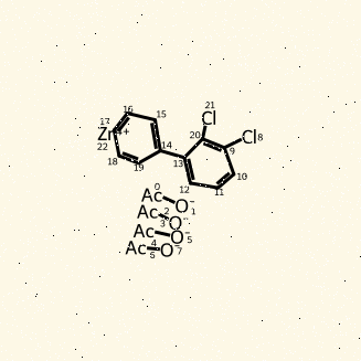 CC(=O)[O-].CC(=O)[O-].CC(=O)[O-].CC(=O)[O-].Clc1cccc(-c2ccccc2)c1Cl.[Zr+4]